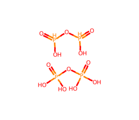 O=P(O)(O)OP(=O)(O)O.O=[PH](O)O[PH](=O)O